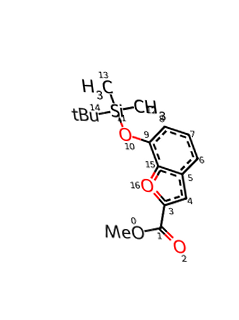 COC(=O)c1cc2cccc(O[Si](C)(C)C(C)(C)C)c2o1